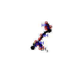 CS(=O)(=O)n1ccc(C(=O)N[C@@H](CCOCCCC(=O)NCCCC#Cc2cccc3c2C(=O)N(C2CCC(=O)NC2=O)C3=O)C(=O)Nc2nc(-c3ccccc3)cs2)c1